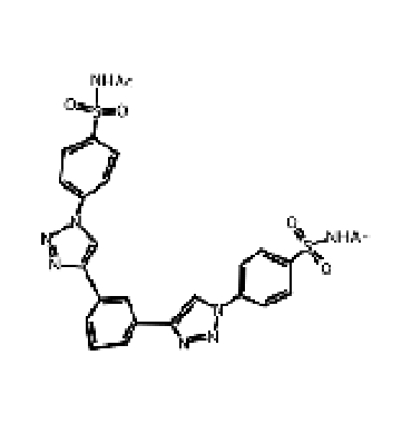 CC(=O)NS(=O)(=O)c1ccc(-n2cc(-c3cccc(-c4cn(-c5ccc(S(=O)(=O)NC(C)=O)cc5)nn4)c3)nn2)cc1